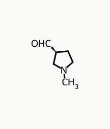 CN1CC[C@H](C=O)C1